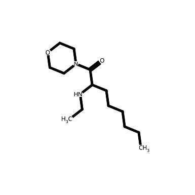 CCCCCCC(NCC)C(=O)N1CCOCC1